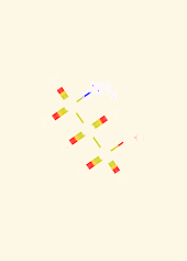 NS(=O)(=O)S(=O)(=O)S(=O)(=O)O